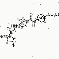 CCOC(=O)C12CCC(NC(=O)C34CCC(NCC(=O)N5C[C@@H](F)C[C@H]5C#N)(CC3)CC4)(CC1)CC2